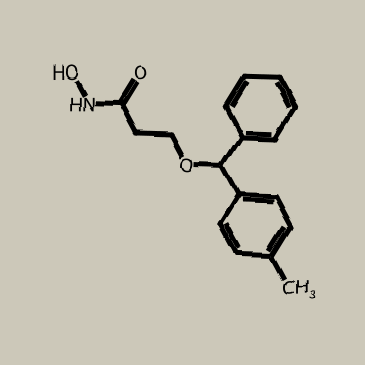 Cc1ccc(C(OCCC(=O)NO)c2ccccc2)cc1